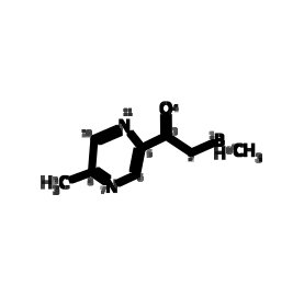 CBCC(=O)c1cnc(C)cn1